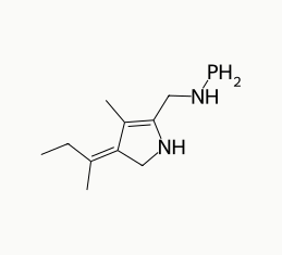 CC/C(C)=C1/CNC(CNP)=C1C